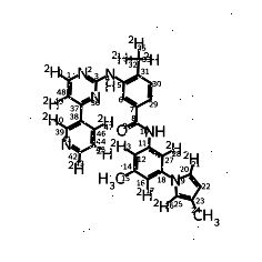 [2H]c1nc(Nc2cc(C(=O)Nc3c([2H])c(C)c([2H])c(-n4c([2H])cc(C)c4[2H])c3[2H])ccc2C([2H])([2H])[2H])nc(-c2c([2H])nc([2H])c([2H])c2[2H])c1[2H]